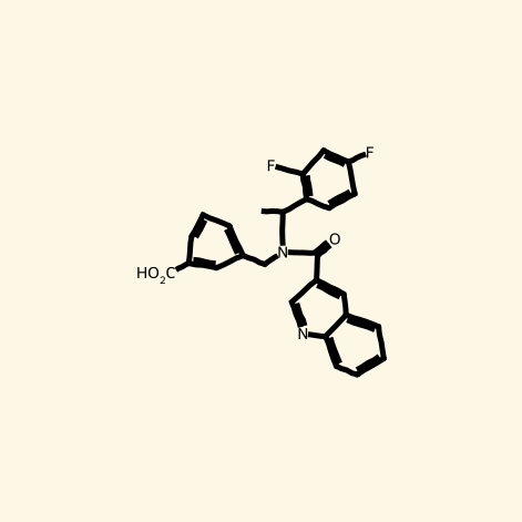 CC(c1ccc(F)cc1F)N(Cc1cccc(C(=O)O)c1)C(=O)c1cnc2ccccc2c1